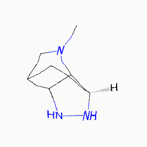 CN1CC2C[C@@H]3NNC2C31